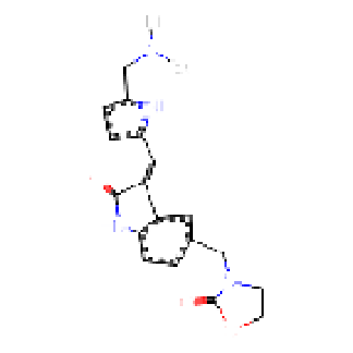 CCN(CC)Cc1ccc(C=C2C(=O)Nc3ccc(CN4CCOC4=O)cc32)[nH]1